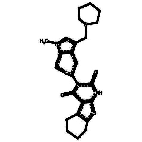 Cn1cc(CN2CCCCC2)c2cc(-n3c(=O)[nH]c4sc5c(c4c3=O)CCCC5)ccc21